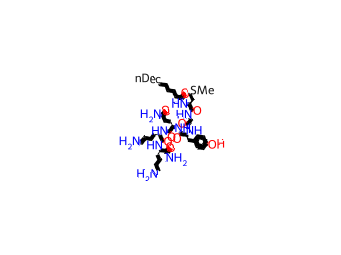 CCCCCCCCCCCCCCCC(=O)N[C@@H](CCSC)C(=O)NCC(=O)N[C@@H](Cc1ccc(O)cc1)C(=O)N[C@@H](CCC(N)=O)C(=O)N[C@@H](CCCCN)C(=O)N[C@@H](CCCCN)C(N)=O